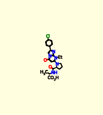 CCn1c(N2CCC[C@H]2C(=O)N[C@@H](C)C(=O)O)cc(=O)n2cc(-c3ccc(Cl)cc3)nc12